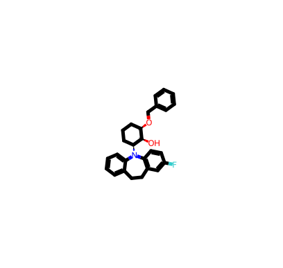 O[C@H]1[C@H](N2c3ccccc3CCc3cc(F)ccc32)CCC[C@H]1OCc1ccccc1